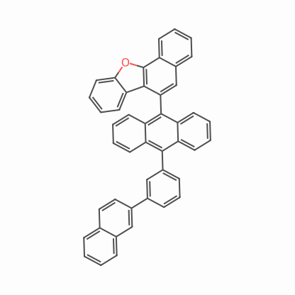 c1cc(-c2ccc3ccccc3c2)cc(-c2c3ccccc3c(-c3cc4ccccc4c4oc5ccccc5c34)c3ccccc23)c1